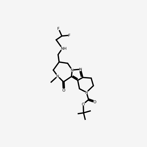 CN1CC(CNCC(F)F)Cn2nc3c(c2C1=O)CN(C(=O)OC(C)(C)C)CC3